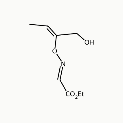 C/C=C(/CO)O/N=C/C(=O)OCC